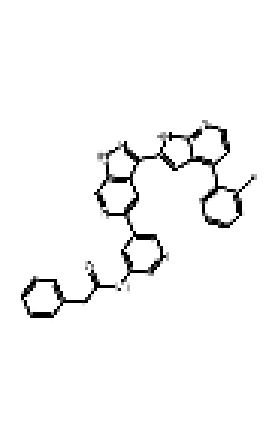 O=C(Cc1ccccc1)Nc1cncc(-c2cc3c(-c4cc5c(-c6ccccc6F)ccnc5[nH]4)n[nH]c3cn2)c1